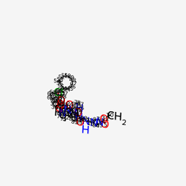 C=CCOC(=O)N1CCN(CCNCC(=O)NC2(C(=O)N(C)[C@H](C(=O)N(C)[C@@H](CC(=O)OC(c3ccccc3)(c3ccc(C4CCCCCCCCCC5CC5C4)cc3)c3ccccc3Cl)C(=O)N3CCCCC3)C3CCCCC3)CCCC2)CC1